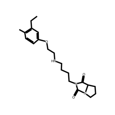 CCc1cc(OCCNCCCCN2C(=O)C3CCCN3C2=O)ccc1C